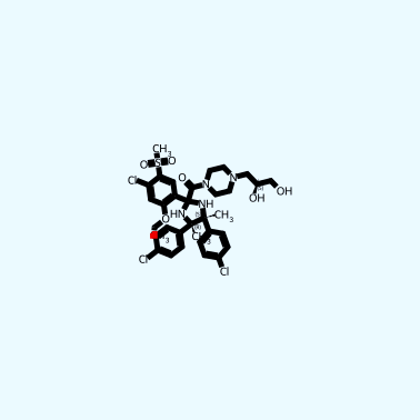 CCOc1cc(Cl)c(S(C)(=O)=O)cc1C1(C(=O)N2CCN(C[C@H](O)CO)CC2)N[C@@](C)(c2ccc(Cl)cc2)[C@@](C)(c2ccc(Cl)cc2)N1